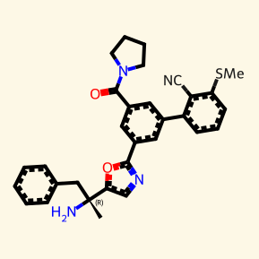 CSc1cccc(-c2cc(C(=O)N3CCCC3)cc(-c3ncc([C@](C)(N)Cc4ccccc4)o3)c2)c1C#N